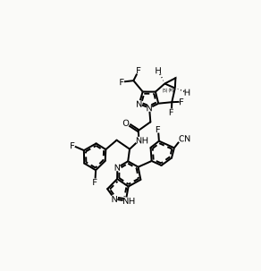 N#Cc1ccc(-c2cc3[nH]ncc3nc2C(Cc2cc(F)cc(F)c2)NC(=O)Cn2nc(C(F)F)c3c2C(F)(F)[C@@H]2C[C@H]32)cc1F